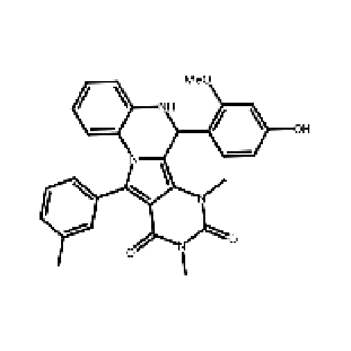 COc1cc(O)ccc1C1Nc2ccccc2-n2c(-c3cccc(C)c3)c3c(=O)n(C)c(=O)n(C)c3c21